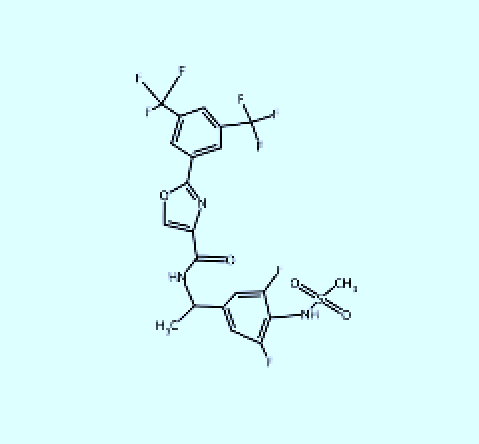 CC(NC(=O)c1coc(-c2cc(C(F)(F)F)cc(C(F)(F)F)c2)n1)c1cc(F)c(NS(C)(=O)=O)c(F)c1